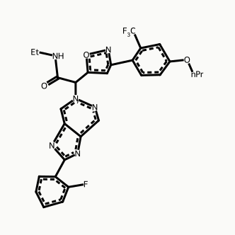 CCCOc1ccc(-c2cc(C(C(=O)NCC)n3cc4nc(-c5ccccc5F)nc-4cn3)on2)c(C(F)(F)F)c1